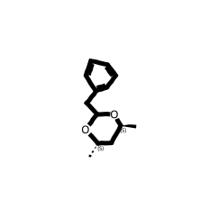 C[C@H]1C[C@H](C)OC(Cc2ccccc2)O1